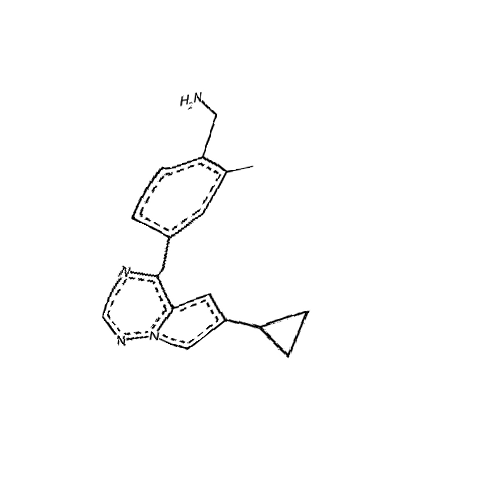 Cc1cc(-c2ncnn3cc(C4CC4)cc23)ccc1CN